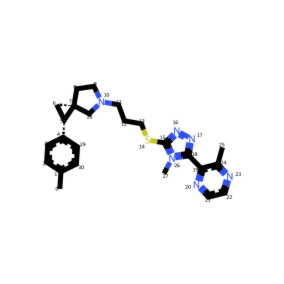 Cc1ccc([C@@H]2C[C@@]23CCN(CCCSc2nnc(-c4nccnc4C)n2C)C3)cc1